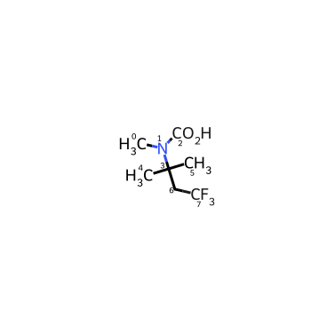 CN(C(=O)O)C(C)(C)CC(F)(F)F